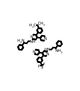 CC(C)c1cccc(-c2cnc(NCCC(N)c3ccccc3)cc2-c2ccncc2)c1.NC(CCNc1cc(-c2ccncc2)c(-c2cccc(C(F)(F)F)c2)cn1)c1ccccc1